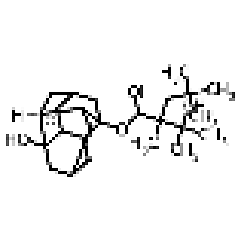 CC(C)(C)CC(C)(C(O)OC12CC3CC4C1CC1CC2[C@H](C3)C4(O)C1)C(C)(C)C